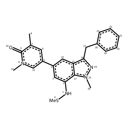 CSNc1cc(-c2cc(C)c(=O)n(C)c2)cc2c(Cc3ccccc3)nn(C)c12